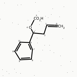 C=CCC(OC(=O)O)c1ccccc1